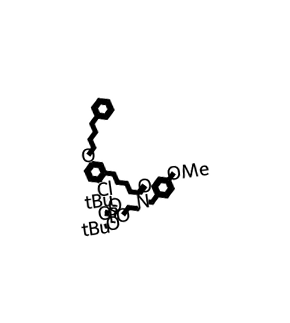 COc1ccc(CN(CCOP(=O)(OC(C)(C)C)OC(C)(C)C)C(=O)CCCCc2cc(OCCCCc3ccccc3)ccc2Cl)cc1